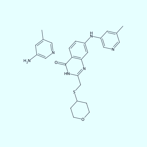 Cc1cncc(N)c1.Cc1cncc(Nc2ccc3c(=O)[nH]c(CSC4CCOCC4)nc3c2)c1